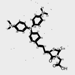 CN(C)c1ccc(N(c2ccc(/C=C/C=C3\SC(=S)N(CC(=O)O)C3=O)cc2)c2ccc(N(C)C)cc2)cc1